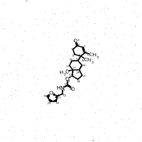 CC1=CC(=O)CCC1(C)C1CCC2(C)C(CC[C@H]2OC(=O)NCc2ccco2)C1